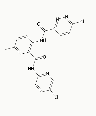 Cc1ccc(NC(=O)c2ccc(Cl)nn2)c(C(=O)Nc2ccc(Cl)cn2)c1